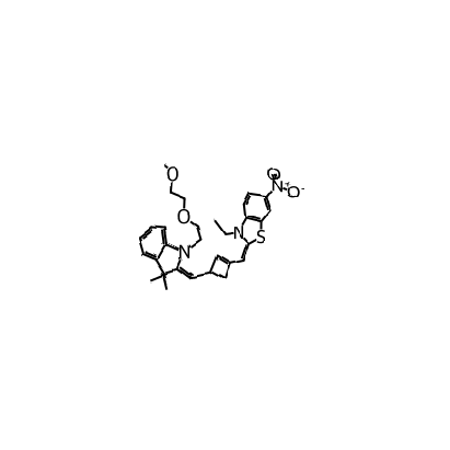 CCN1C(=CC2=CC(C=C3N(CCOCCOC)c4ccccc4C3(C)C)C2)Sc2cc([N+](=O)[O-])ccc21